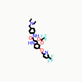 CCN(CC)Cc1ccc(NC(=O)c2[nH]c3ccc(OCc4ccc(C(F)(F)F)cn4)cc3c2OC(=O)C(F)(F)F)cc1